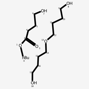 CCCCOC(=O)CCCO.OCCCCOCCCCO